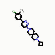 FC(F)(F)c1cc(-c2ccc(N3CCC4(CC3)CCN(C3CCC3)CC4)nn2)ccc1Cl